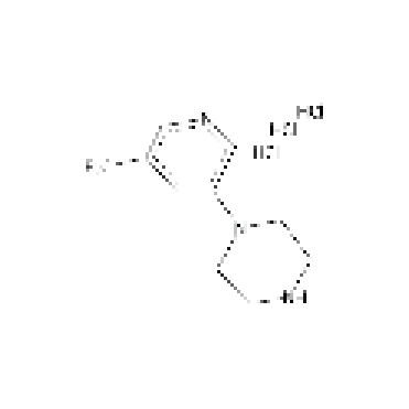 Cl.Cl.Cl.FC(F)(F)c1cncc(N2CCNCC2)c1